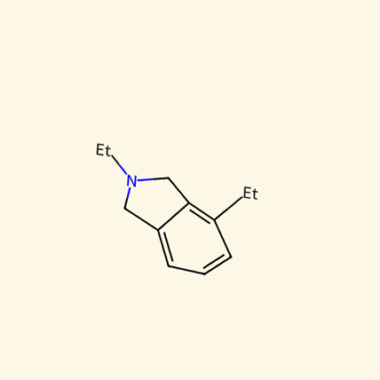 CCc1cccc2c1CN(CC)C2